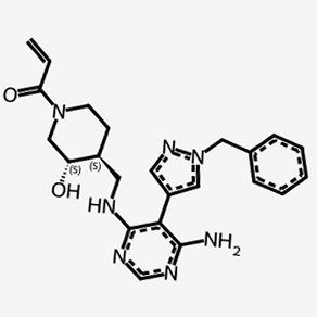 C=CC(=O)N1CC[C@@H](CNc2ncnc(N)c2-c2cnn(Cc3ccccc3)c2)[C@H](O)C1